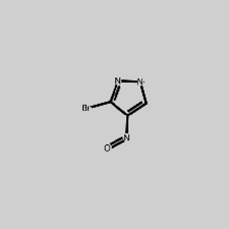 O=NC1=C[N]N=C1Br